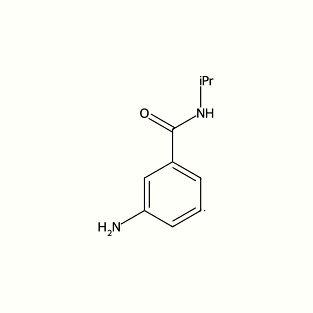 CC(C)NC(=O)c1c[c]cc(N)c1